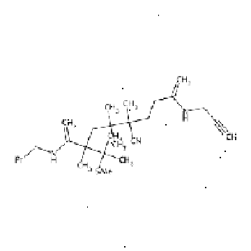 C#CCNC(=C)CCC(C)(C#N)C(C)(C)CC(C)(C(=C)NCC(C)C)C(C)(C)SC